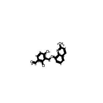 Cc1ccc2cccc(OCc3c(Cl)ccc(C=O)c3Cl)c2n1